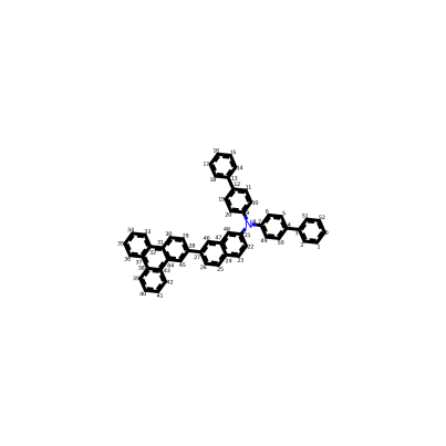 c1ccc(-c2ccc(N(c3ccc(-c4ccccc4)cc3)c3ccc4ccc(-c5ccc6c7ccccc7c7ccccc7c6c5)cc4c3)cc2)cc1